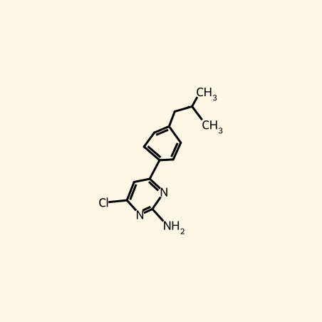 C[C](C)Cc1ccc(-c2cc(Cl)nc(N)n2)cc1